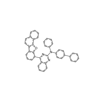 c1ccc(-c2ccc(N(c3ccccc3)c3nc(-c4cccc5c4oc4c6ccccc6ccc54)c4ccccc4n3)cc2)cc1